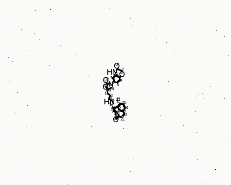 O=C1COc2ccc(N3C[C@@H](CCCNC[C@H]4Cn5c(=O)ccc6ccc(F)c4c65)OC3=O)cc2N1